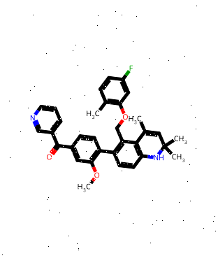 COc1cc(C(=O)c2cccnc2)ccc1-c1ccc2c(c1COc1cc(F)ccc1C)C(C)=CC(C)(C)N2